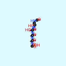 COc1ccc(Nc2ccc3c(O)c(N=Nc4cc(CO)c(N=Nc5cc(C)c(N=Nc6cc(C)c(N=Nc7ccccc7S(=O)(=O)O)cc6OC)cc5OC)cc4OC)ccc3c2)cc1